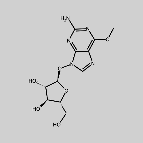 COc1nc(N)nc2c1ncn2O[C@H]1O[C@H](CO)[C@@H](O)[C@@H]1O